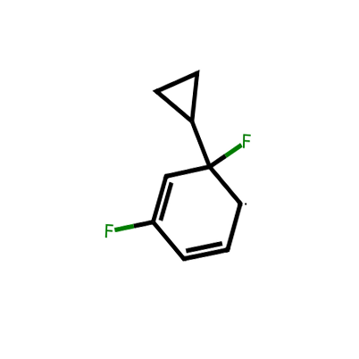 FC1=CC(F)(C2CC2)[CH]C=C1